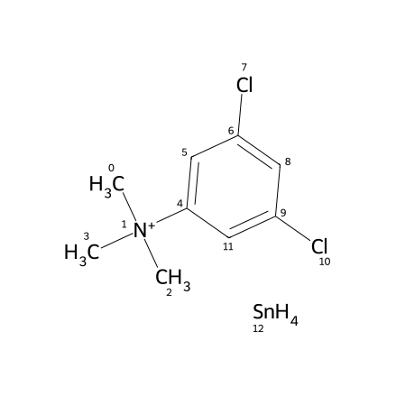 C[N+](C)(C)c1cc(Cl)cc(Cl)c1.[SnH4]